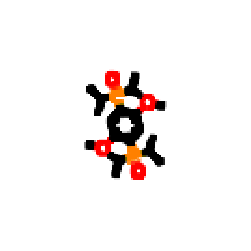 COc1cc(P(=O)(C(C)C)C(C)C)c(OC)cc1P(=O)(C(C)C)C(C)C